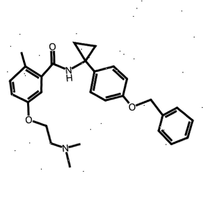 Cc1ccc(OCCN(C)C)cc1C(=O)NC1(c2ccc(OCc3ccccc3)cc2)CC1